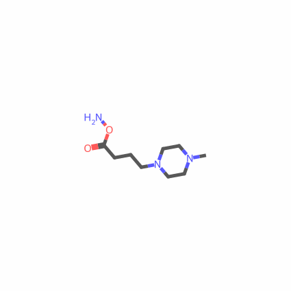 CN1CCN(CCCC(=O)ON)CC1